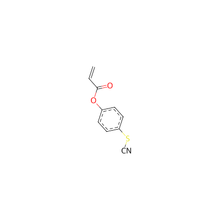 C=CC(=O)Oc1ccc(SC#N)cc1